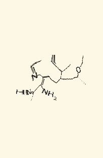 C=CC(C)C(CCC(/N=C\C)=C(\N)C(C)=N)C[C@@H](C)OCC